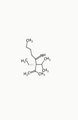 C=C(C)[C@@](CC)(C(=N)CCCC)C(C)C